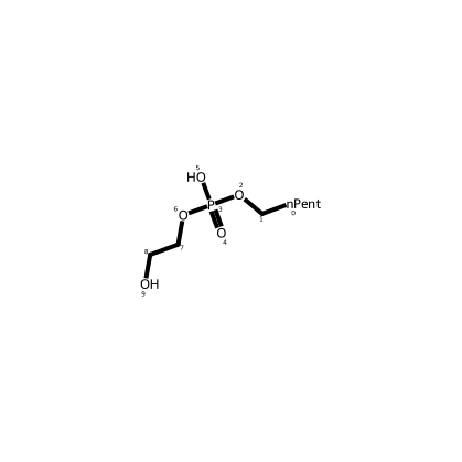 CCCCCCOP(=O)(O)OCCO